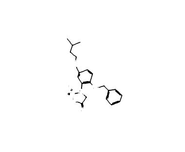 CC(C)CCOc1ccc(OCc2ccccc2)c(N2CC(=O)NS2(=O)=O)c1